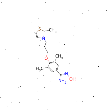 Cc1cc(C(N)=NO)cc(C)c1OCCCN1C=CSC1C